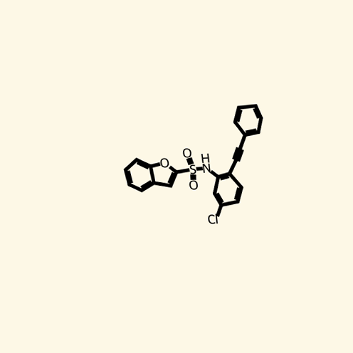 O=S(=O)(Nc1cc(Cl)ccc1C#Cc1ccccc1)c1cc2ccccc2o1